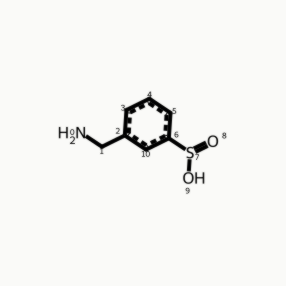 NCc1cccc(S(=O)O)c1